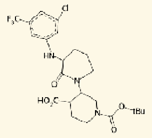 CC(C)(C)OC(=O)N1CCC(C(=O)O)C(N2CCCC(Nc3cc(Cl)cc(C(F)(F)F)c3)C2=O)C1